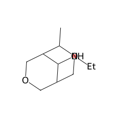 CCOC1C2CNC(C)C1COC2